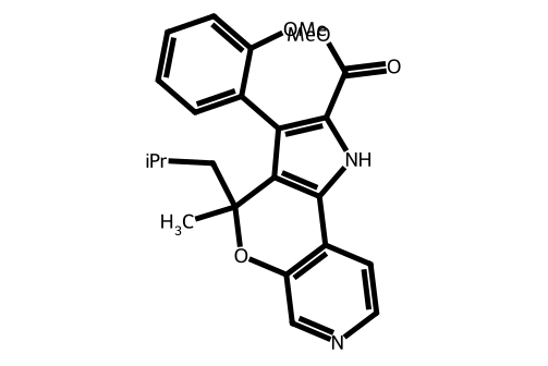 COC(=O)c1[nH]c2c(c1-c1ccccc1OC)C(C)(CC(C)C)Oc1cnccc1-2